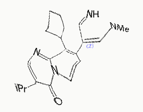 CN/C=C(\C=N)c1ccn2c(=O)c(C(C)C)cnc2c1C1CCC1